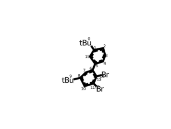 CC(C)(C)c1cccc(-c2cc(C(C)(C)C)cc(Br)c2Br)c1